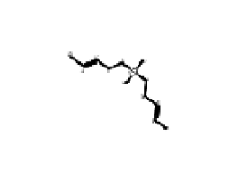 CC=CCC[Si](C)(C)CCC=CC